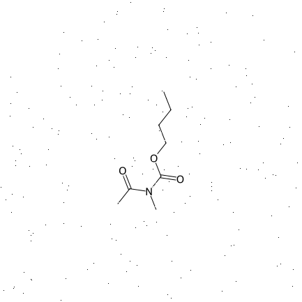 CCCCOC(=O)N(C)C(C)=O